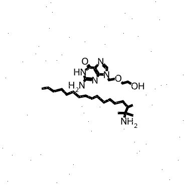 CCCCCCCCCCCCCCC(C)C(C)(C)N.Nc1nc2c(ncn2COCCO)c(=O)[nH]1